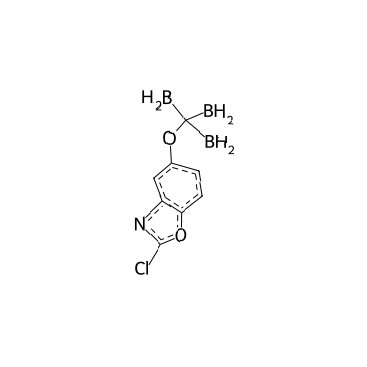 BC(B)(B)Oc1ccc2oc(Cl)nc2c1